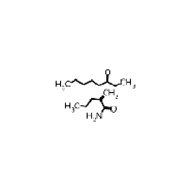 C=C(CCC)C(N)=O.CCCCCC(=O)CC